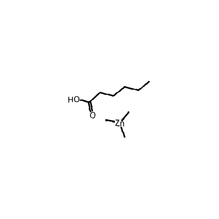 CCCCCC(=O)O.[CH3][Zn]([CH3])[CH3]